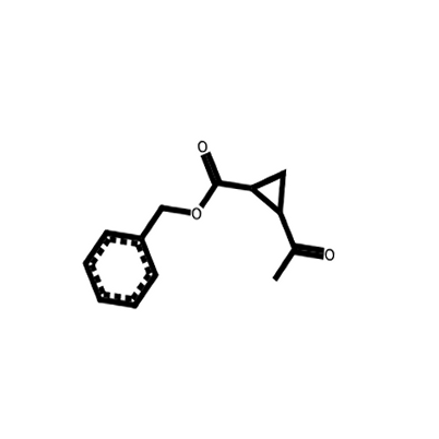 CC(=O)C1CC1C(=O)OCc1ccccc1